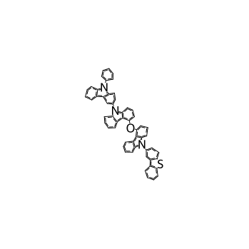 c1ccc(-n2c3ccccc3c3cc(-n4c5ccccc5c5c(Oc6cccc7c6c6ccccc6n7-c6ccc7sc8ccccc8c7c6)cccc54)ccc32)cc1